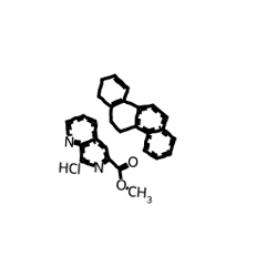 C1=CC2=C(CC1)CCc1c2ccc2ccccc12.COC(=O)c1cc2cccnc2cn1.Cl